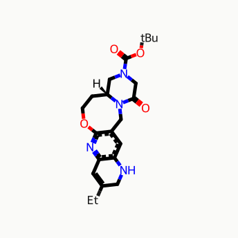 CCC1=Cc2nc3c(cc2NC1)CN1C(=O)CN(C(=O)OC(C)(C)C)C[C@H]1CCO3